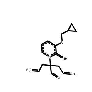 C=CCC(C=O)(CC=C)n1cccc(OCC2CC2)c1=N